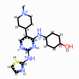 CN1CCC(c2cnc(Nc3nccs3)nc2NC2CCC(O)CC2)CC1